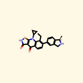 CCc1c(-c2ccc3c(c2)CN[C@@H]3C)ccc2c(=O)c3c(=O)[nH]sc3n(C3CC3)c12